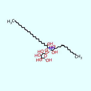 CCCCCCCCC/C=C\CCC[C@@H](O)[C@@H](O)[C@H](CO[C@@H]1O[C@H](CO)[C@@H](O)C(O)C1O)NC(=O)[C@H](O)CCCCCCCCCCCCCCCCCCCCCCC